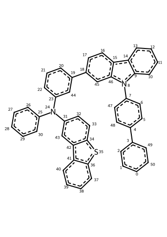 c1ccc(-c2ccc(-n3c4ccccc4c4ccc(-c5cccc(N(c6ccccc6)c6ccc7sc8ccccc8c7c6)c5)cc43)cc2)cc1